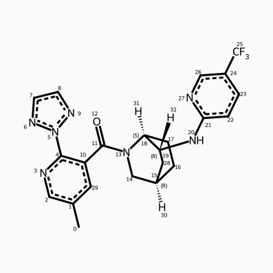 Cc1cnc(-n2nccn2)c(C(=O)N2C[C@@H]3CC[C@H]2[C@H](Nc2ccc(C(F)(F)F)cn2)C3)c1